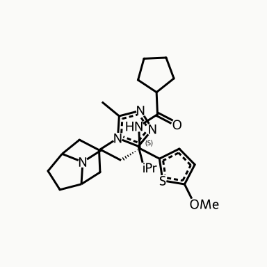 COc1ccc([C@H](CCN2C3CCC2CC(n2c(C)nnc2C(C)C)C3)NC(=O)C2CCCC2)s1